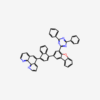 c1ccc(-c2nc(-c3ccccc3)nc(-c3cc(-c4ccc(-c5cc6cccnc6c6ncccc56)c5ccccc45)cc4c3oc3ccccc34)n2)cc1